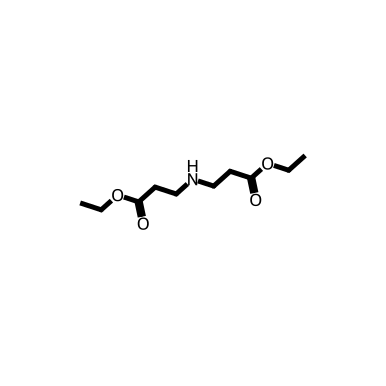 CCOC(=O)CCNCCC(=O)OCC